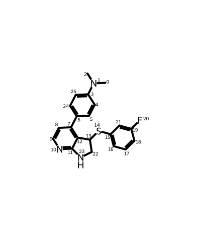 CN(C)c1ccc(-c2ccnc3c2C(Sc2cccc(F)c2)CN3)cc1